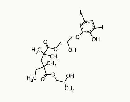 CCC(C)(CC(C)(C)C(=O)OCC(O)COc1cc(I)cc(I)c1O)C(=O)OCC(C)O